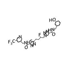 O=C(NCc1cccc(O)c1)c1cn(CC(F)CCc2nnc(C(=O)NCc3cncc(C(F)(F)F)c3)s2)nn1